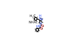 CC(=O)Nc1ccc(C)cc1-c1[nH]nc2c1CN(C(=O)NC(=O)c1ccccc1)C2